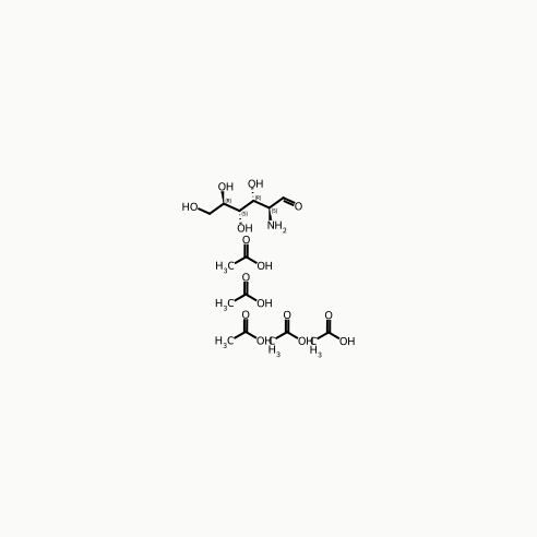 CC(=O)O.CC(=O)O.CC(=O)O.CC(=O)O.CC(=O)O.N[C@H](C=O)[C@@H](O)[C@H](O)[C@H](O)CO